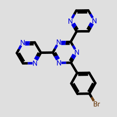 Brc1ccc(-c2nc(-c3cnccn3)nc(-c3cnccn3)n2)cc1